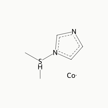 C[SH](C)n1ccnc1.[Co]